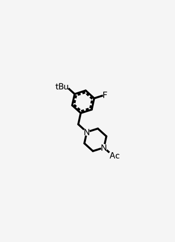 CC(=O)N1CCN(Cc2cc(F)cc(C(C)(C)C)c2)CC1